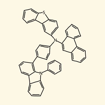 c1ccc(-n2c3ccccc3c3cccc(-c4ccc(N(c5ccc6sc7ccccc7c6c5)c5cc6ccccc6c6ccccc56)cc4)c32)cc1